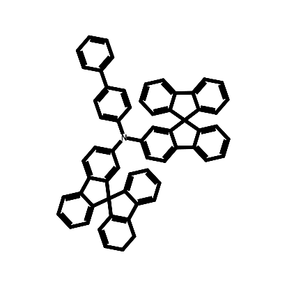 C1=CC2=C(CC1)c1ccccc1C21c2ccccc2-c2ccc(N(c3ccc(-c4ccccc4)cc3)c3ccc4c(c3)C3(c5ccccc5-c5ccccc53)c3ccccc3-4)cc21